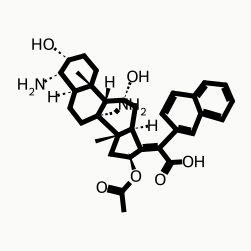 CC(=O)O[C@H]1C[C@@]2(C)[C@@H](C[C@@H](O)[C@H]3[C@@]4(C)CC[C@@H](O)[C@@H](N)[C@@H]4CC[C@@]32CN)/C1=C(/C(=O)O)c1ccc2ccccc2c1